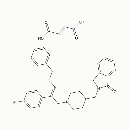 O=C(O)C=CC(=O)O.O=C1c2ccccc2CN1CC1CCN(CC(=NOCc2ccccc2)c2ccc(F)cc2)CC1